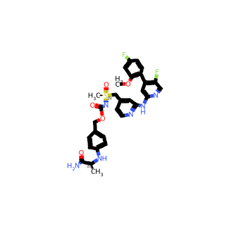 COc1cc(F)ccc1-c1cc(Nc2cc(C[S@](C)(=O)=NC(=O)OCc3ccc(N[C@@H](C)C(N)=O)cc3)ccn2)ncc1F